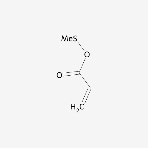 C=CC(=O)OSC